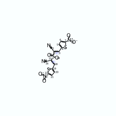 N#C/C(=C\c1ccc([N+](=O)[O-])s1)S(=O)(=O)/C(C#N)=C/c1ccc([N+](=O)[O-])s1